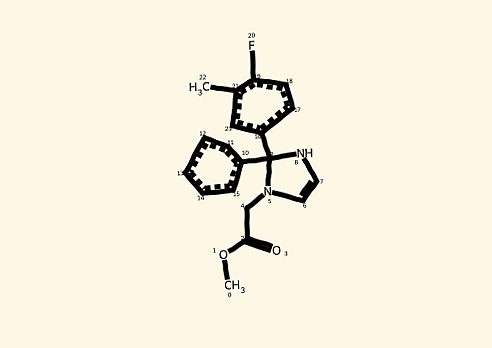 COC(=O)CN1C=CNC1(c1ccccc1)c1ccc(F)c(C)c1